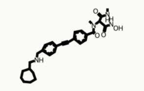 CNC(=O)C(C(=O)NO)N(C)C(=O)c1ccc(C#Cc2ccc(CNCC3CCCCCC3)cc2)cc1